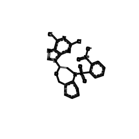 O=[N+]([O-])c1ccccc1S(=O)(=O)N1CC(n2cnc3c(Cl)nc(Cl)nc32)OCc2ccccc21